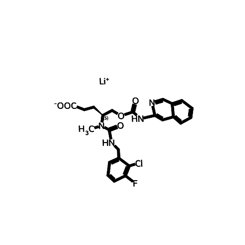 CN(C(=O)NCc1cccc(F)c1Cl)[C@@H](CCC(=O)[O-])COC(=O)Nc1cc2ccccc2cn1.[Li+]